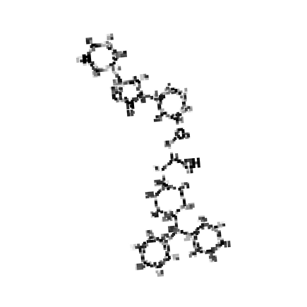 OC(COc1cccc(-c2noc(-c3cccnc3)n2)c1)CN1CCN(C(c2ccccc2)c2ccccc2)CC1